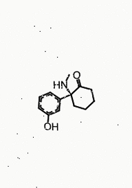 CN[C@]1(c2cccc(O)c2)CCCCC1=O